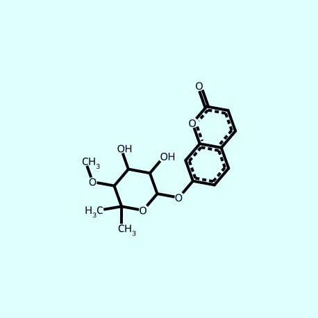 COC1C(O)C(O)C(Oc2ccc3ccc(=O)oc3c2)OC1(C)C